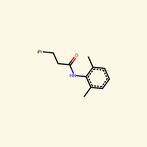 Cc1cccc(C)c1NC(=O)CCC(C)C